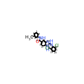 Cc1cccc(NC(=O)C2=CCC3NC(Nc4c(Cl)cccc4Cl)=NC3=C2)c1